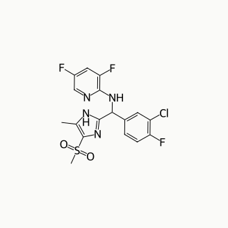 Cc1[nH]c(C(Nc2ncc(F)cc2F)c2ccc(F)c(Cl)c2)nc1S(C)(=O)=O